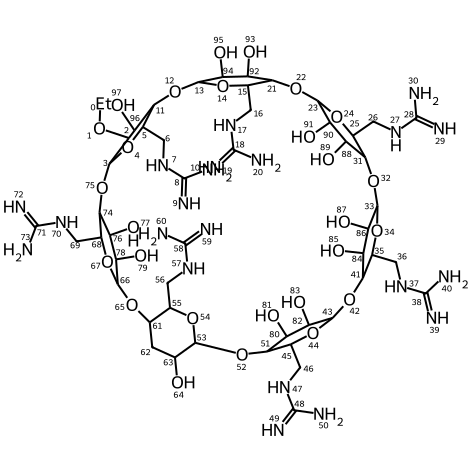 CCOC1C2OC(CNC(=N)N)C(OC3OC(CNC(=N)N)C(OC4OC(CNC(=N)N)C(OC5OC(CNC(=N)N)C(OC6OC(CNC(=N)N)C(OC7OC(CNC(=N)N)C(CC7O)OC7OC(CNC(=N)N)C(O2)C(O)C7O)C(O)C6O)C(O)C5O)C(O)C4O)C(O)C3O)C1O